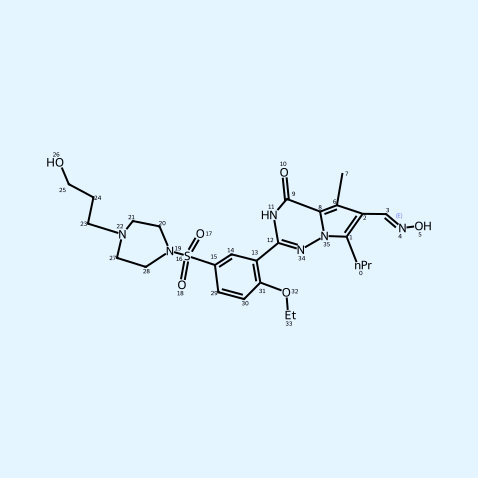 CCCc1c(/C=N/O)c(C)c2c(=O)[nH]c(-c3cc(S(=O)(=O)N4CCN(CCCO)CC4)ccc3OCC)nn12